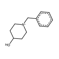 OC1CC[N+](Cc2ccccc2)CC1